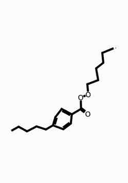 [CH2]CCCCCOOC(=O)c1ccc(CCCCC)cc1